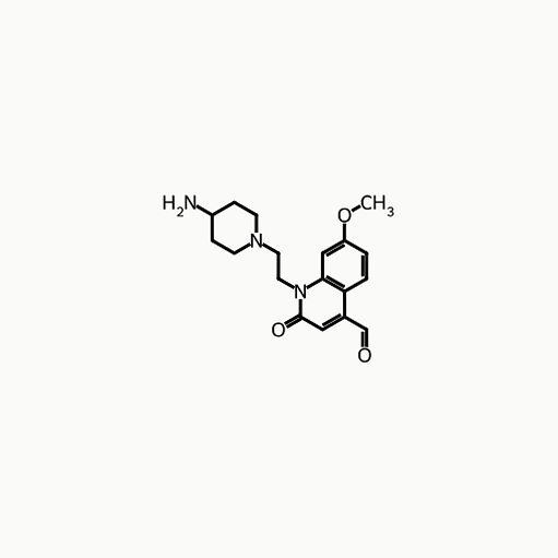 COc1ccc2c(C=O)cc(=O)n(CCN3CCC(N)CC3)c2c1